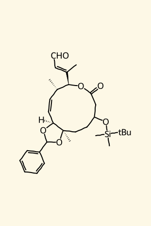 CC(=CC=O)[C@H]1OC(=O)CC(O[Si](C)(C)C(C)(C)C)CC[C@@]2(C)OC(c3ccccc3)O[C@H]2C=C[C@@H]1C